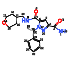 CNC(=O)c1cc(C(=O)NCC2CCOCC2)n([C@@H](C)c2ccccc2)n1